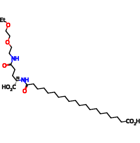 CCOCCOCCNC(=O)CC[C@H](NC(=O)CCCCCCCCCCCCCCCCCCC(=O)O)C(=O)O